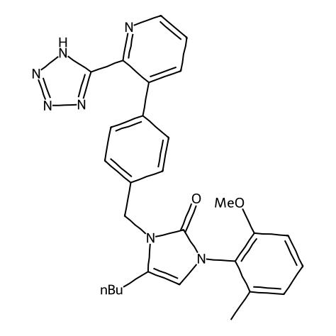 CCCCc1cn(-c2c(C)cccc2OC)c(=O)n1Cc1ccc(-c2cccnc2-c2nnn[nH]2)cc1